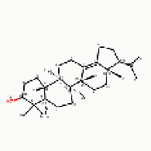 CC(C)[C@@H]1CCC2=C3CC[C@@H]4[C@@]5(C)CC[C@H](O)C(C)(C)[C@@H]5CC[C@]4(C)[C@@]3(C)CC[C@]21C